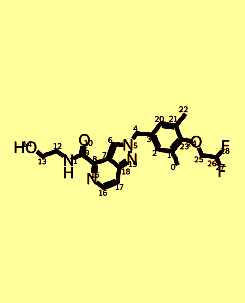 Cc1cc(Cn2cc3c(C(=O)NCCO)nccc3n2)cc(C)c1OCC(F)F